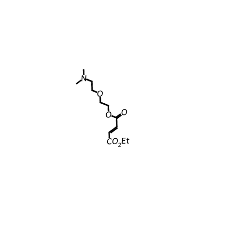 CCOC(=O)C=CC(=O)OCCOCCN(C)C